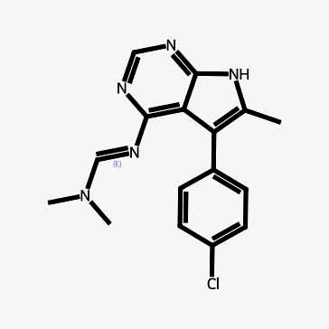 Cc1[nH]c2ncnc(/N=C/N(C)C)c2c1-c1ccc(Cl)cc1